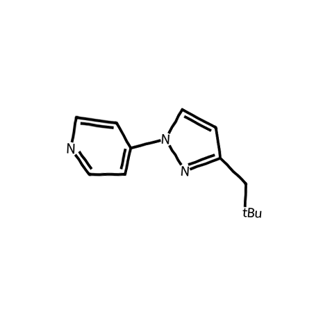 CC(C)(C)Cc1ccn(-c2ccncc2)n1